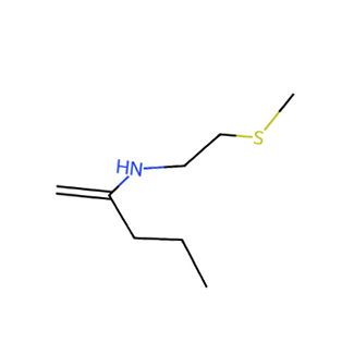 C=C(CCC)NCCSC